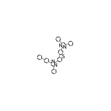 c1ccc(-c2ccc(-c3cc(-c4ccccc4)nc(-c4ccc5sc6cc(-c7nc(-c8ccccc8)cc(-c8ccccc8)n7)ccc6c5c4)n3)cc2)cc1